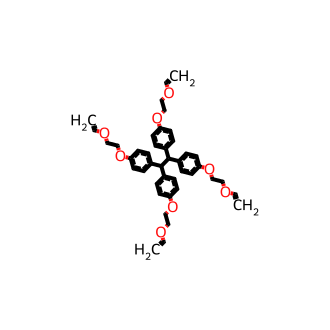 C=COCCOc1ccc(C(c2ccc(OCCOC=C)cc2)C(c2ccc(OCCOC=C)cc2)c2ccc(OCCOC=C)cc2)cc1